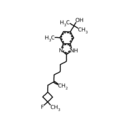 C=C(CCCCc1nc2c(C)cc(C(C)(C)O)cc2[nH]1)CC1CC(C)(F)C1